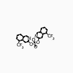 O=S(=O)(Oc1cc2c(C(F)(F)F)cccc2cn1)Oc1cc2c(C(F)(F)F)cccc2cn1